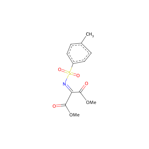 COC(=O)C(=NS(=O)(=O)c1ccc(C)cc1)C(=O)OC